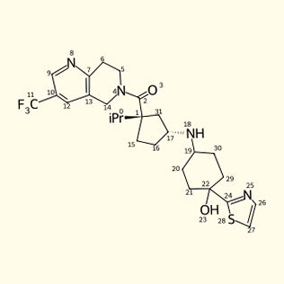 CC(C)[C@]1(C(=O)N2CCc3ncc(C(F)(F)F)cc3C2)CC[C@@H](NC2CCC(O)(c3nccs3)CC2)C1